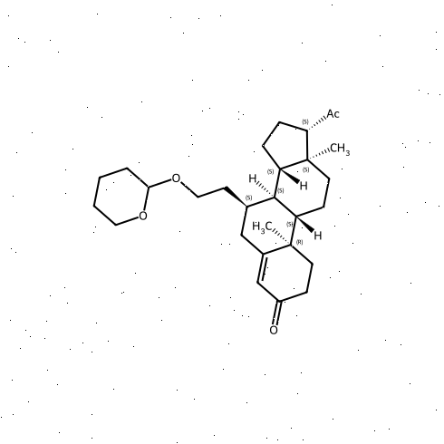 CC(=O)[C@H]1CC[C@H]2[C@@H]3[C@H](CCOC4CCCCO4)CC4=CC(=O)CC[C@]4(C)[C@H]3CC[C@]12C